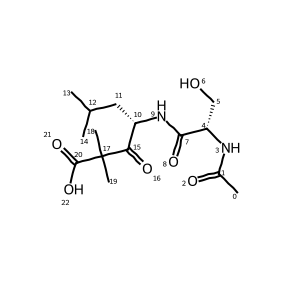 CC(=O)N[C@@H](CO)C(=O)N[C@@H](CC(C)C)C(=O)C(C)(C)C(=O)O